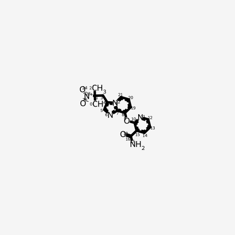 CC(C)(Cc1cnc2c(Oc3ncccc3C(N)=O)cccn12)[N+](=O)[O-]